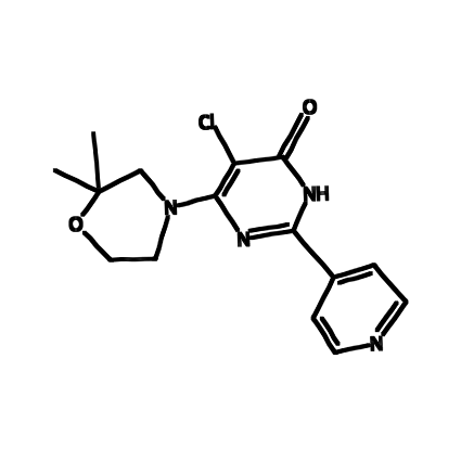 CC1(C)CN(c2nc(-c3ccncc3)[nH]c(=O)c2Cl)CCO1